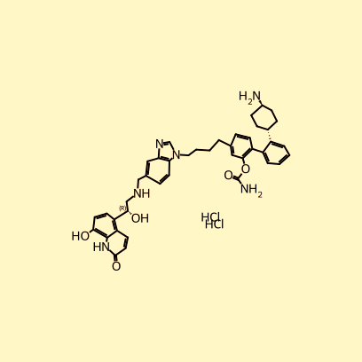 Cl.Cl.NC(=O)Oc1cc(CCCCn2cnc3cc(CNC[C@H](O)c4ccc(O)c5[nH]c(=O)ccc45)ccc32)ccc1-c1ccccc1[C@H]1CC[C@H](N)CC1